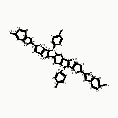 Cc1ccc(-n2c3cc4c5sc6cc(-c7cc8ccc(C)cc8o7)sc6c5n(-c5ccc(C)cc5)c4cc3c3sc4cc(-c5cc6ccc(C)cc6o5)sc4c32)cc1